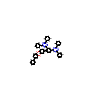 c1ccc(-c2ccc3c(c2)Oc2cc(-c4ccc(-c5nc(-c6ccccc6)nc(-c6ccccc6)n5)cc4-c4nc(-c5ccccc5)nc(-c5ccccc5)n4)ccc2O3)cc1